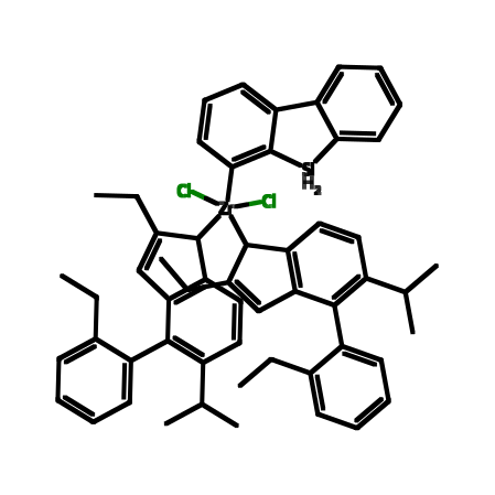 CCC1=Cc2c(ccc(C(C)C)c2-c2ccccc2CC)[CH]1[Zr]([Cl])([Cl])([c]1cccc2c1[SiH2]c1ccccc1-2)[CH]1C(CC)=Cc2c1ccc(C(C)C)c2-c1ccccc1CC